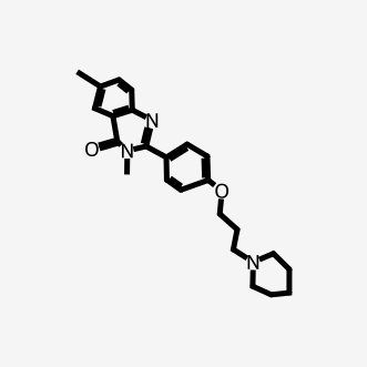 Cc1ccc2nc(-c3ccc(OCCCN4CCCCC4)cc3)n(C)c(=O)c2c1